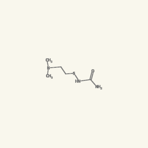 CN(C)CCSNC(N)=O